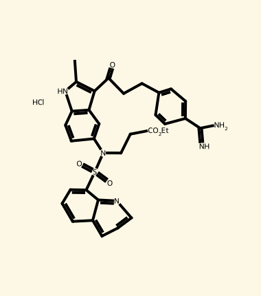 CCOC(=O)CCN(c1ccc2[nH]c(C)c(C(=O)CCc3ccc(C(=N)N)cc3)c2c1)S(=O)(=O)c1cccc2cccnc12.Cl